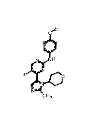 CCOc1ccc(Nc2ncc(F)c(-c3cnc(C)n3C3CCOCC3)n2)cn1